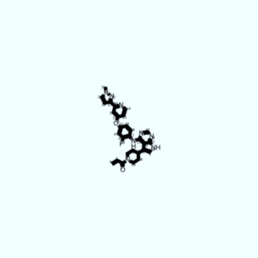 C=CC(=O)N1CCC(c2c[nH]c3ncnc(Nc4ccc(Oc5ccnc(-c6ccn(C)n6)c5)cc4F)c23)CC1